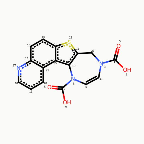 O=C(O)N1C=CN(C(=O)O)c2c(sc3ccc4ncccc4c23)C1